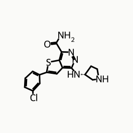 NC(=O)c1nnc(N[C@@H]2CCNC2)c2cc(-c3cccc(Cl)c3)sc12